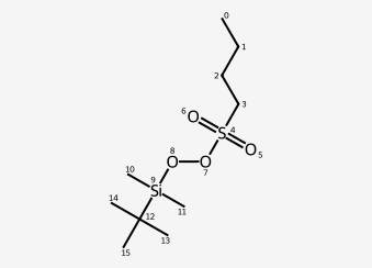 CCCCS(=O)(=O)OO[Si](C)(C)C(C)(C)C